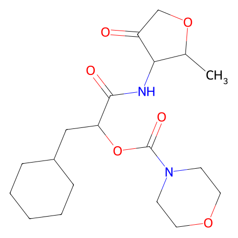 CC1OCC(=O)C1NC(=O)C(CC1CCCCC1)OC(=O)N1CCOCC1